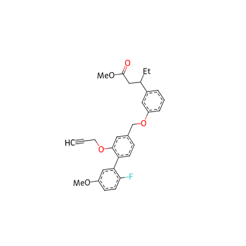 C#CCOc1cc(COc2cccc(C(CC)CC(=O)OC)c2)ccc1-c1cc(OC)ccc1F